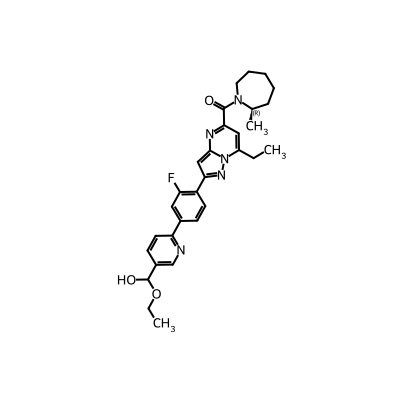 CCOC(O)c1ccc(-c2ccc(-c3cc4nc(C(=O)N5CCCCC[C@H]5C)cc(CC)n4n3)c(F)c2)nc1